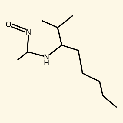 CCCCCC(NC(C)N=O)C(C)C